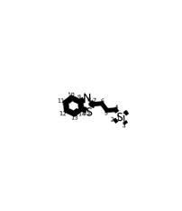 C[Si](C)(C)CCCc1nc2ccccc2s1